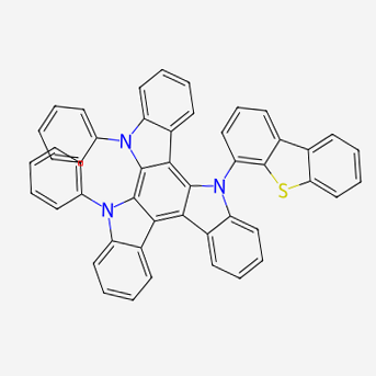 c1ccc(-n2c3ccccc3c3c4c5ccccc5n(-c5cccc6c5sc5ccccc56)c4c4c5ccccc5n(-c5ccccc5)c4c32)cc1